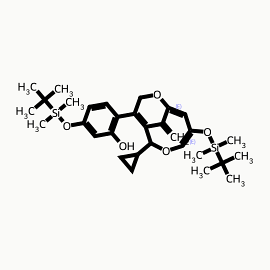 C=C1C2=C(c3ccc(O[Si](C)(C)C(C)(C)C)cc3O)CO/C1=C/C(O[Si](C)(C)C(C)(C)C)=C\OC2C1CC1